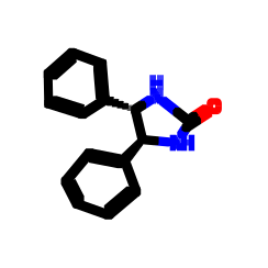 O=C1N[C@@H](c2ccccc2)[C@H](c2ccccc2)N1